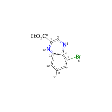 CCOC(=O)c1cnc2c(Br)cc(C)cc2n1